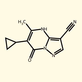 Cc1[nH]c2c(C#N)cnn2c(=O)c1C1CC1